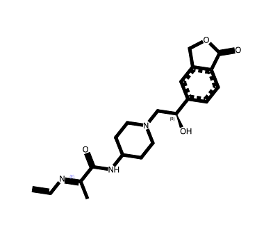 C=C/N=C(\C)C(=O)NC1CCN(C[C@H](O)c2ccc3c(c2)COC3=O)CC1